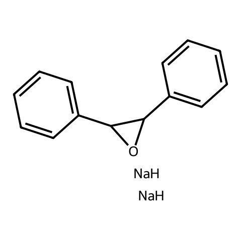 [NaH].[NaH].c1ccc(C2OC2c2ccccc2)cc1